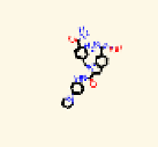 NC(=O)c1ccc(Cn2c(C(=O)Nc3ccc(N4CCCC4)cc3)cc3ccc(/C(N)=N\O)cc32)cc1